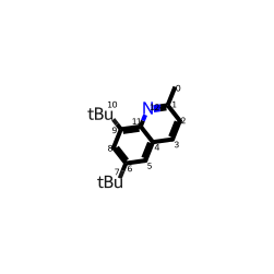 Cc1ccc2cc(C(C)(C)C)cc(C(C)(C)C)c2n1